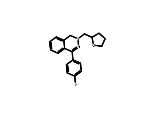 Brc1ccc(C2=NN(CC3CCCO3)Cc3ccccc32)cc1